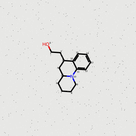 OCCC1CC2CCCCN2c2ccccc21